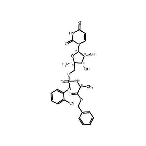 C[C@H](NP(=O)(OC[C@@]1(N)O[C@@H](n2ccc(=O)[nH]c2=O)[C@H](O)[C@@H]1O)Oc1ccccc1C#N)C(=O)OCc1ccccc1